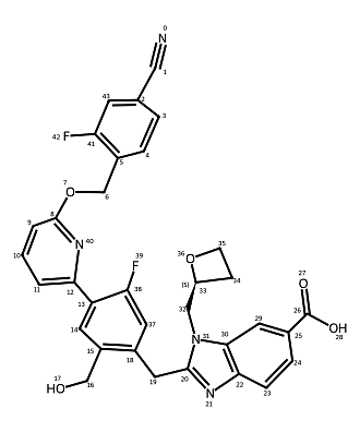 N#Cc1ccc(COc2cccc(-c3cc(CO)c(Cc4nc5ccc(C(=O)O)cc5n4C[C@@H]4CCO4)cc3F)n2)c(F)c1